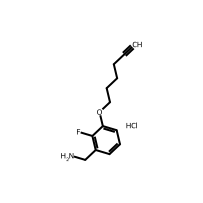 C#CCCCCOc1cccc(CN)c1F.Cl